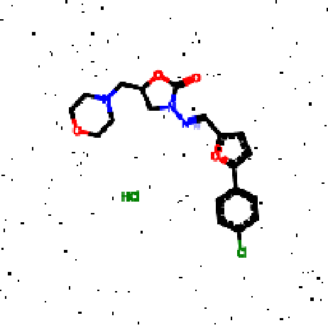 Cl.O=C1OC(CN2CCOCC2)CN1/N=C/c1ccc(-c2ccc(Cl)cc2)o1